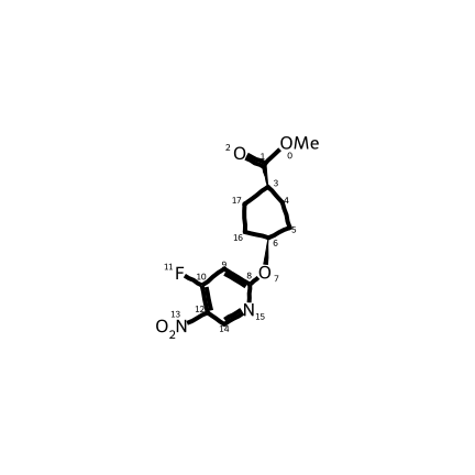 COC(=O)[C@H]1CC[C@@H](Oc2cc(F)c([N+](=O)[O-])cn2)CC1